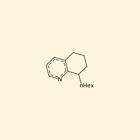 CCCCCCC1CCCc2cccnc21